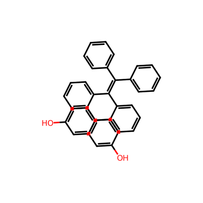 Oc1ccc(-c2ccccc2C(=C(c2ccccc2)c2ccccc2)c2ccccc2-c2ccc(O)cc2)cc1